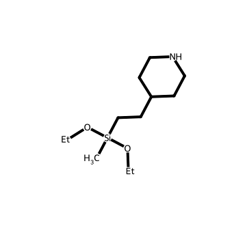 CCO[Si](C)(CCC1CCNCC1)OCC